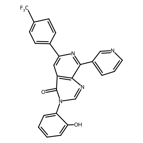 O=c1c2cc(-c3ccc(C(F)(F)F)cc3)nc(-c3cccnc3)c2ncn1-c1ccccc1O